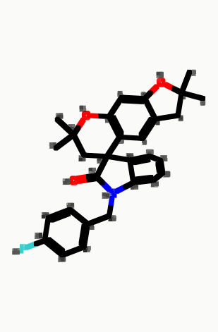 CC1(C)Cc2cc3c(cc2O1)OC(C)(C)CC31C(=O)N(Cc2ccc(F)cc2)c2ccccc21